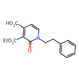 CCOC(=O)c1c(C(=O)O)ccn(CCc2ccccc2)c1=O